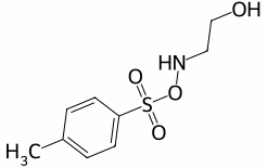 Cc1ccc(S(=O)(=O)ONCCO)cc1